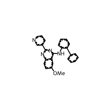 COc1ccc2nc(-c3cccnc3)nc(Nc3ccccc3-c3ccccc3)c2c1